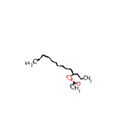 C=C/C=C\CCCCCCC(CCC)OC(C)=O